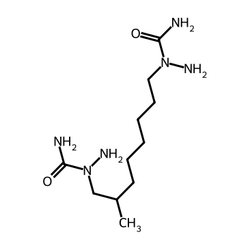 CC(CCCCCCN(N)C(N)=O)CN(N)C(N)=O